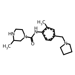 Cc1cc(CN2CCCC2)ccc1NC(=O)N1CCNC(C)C1